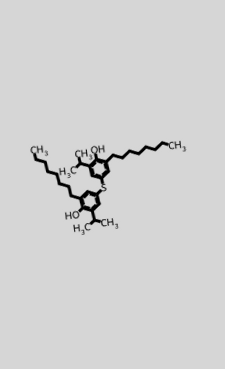 CCCCCCCCc1cc(Sc2cc(CCCCCCCC)c(O)c(C(C)C)c2)cc(C(C)C)c1O